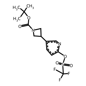 CC(C)(C)OC(=O)N1CC(c2ccc(OS(=O)(=O)C(F)(F)F)nc2)C1